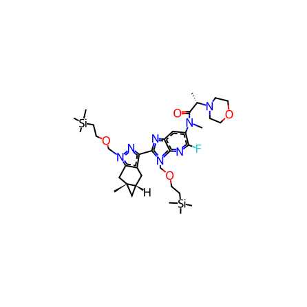 C[C@@H](C(=O)N(C)c1cc2nc(-c3nn(COCC[Si](C)(C)C)c4c3C[C@@H]3C[C@]3(C)C4)n(COCC[Si](C)(C)C)c2nc1F)N1CCOCC1